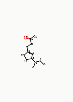 CCC(C)C1C=C(CCC(C)=O)CC1